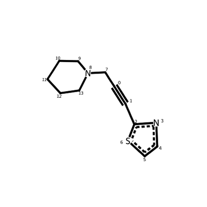 C(#Cc1nccs1)CN1CCCCC1